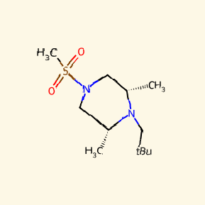 C[C@@H]1CN(S(C)(=O)=O)C[C@H](C)N1CC(C)(C)C